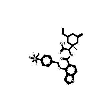 C=C1CC(CC)C[C@](C)(C(NC(=O)c2ccc3sccc3c2OCc2ccc(S(F)(F)(F)(F)F)cc2)C(=O)O)C1